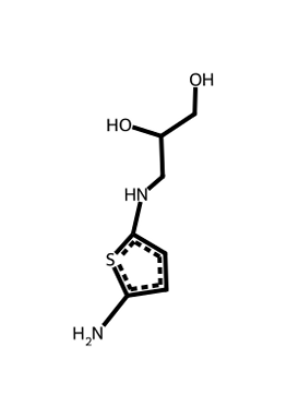 Nc1ccc(NCC(O)CO)s1